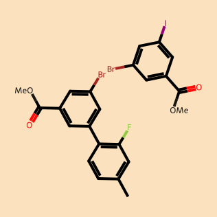 COC(=O)c1cc(Br)cc(-c2ccc(C)cc2F)c1.COC(=O)c1cc(Br)cc(I)c1